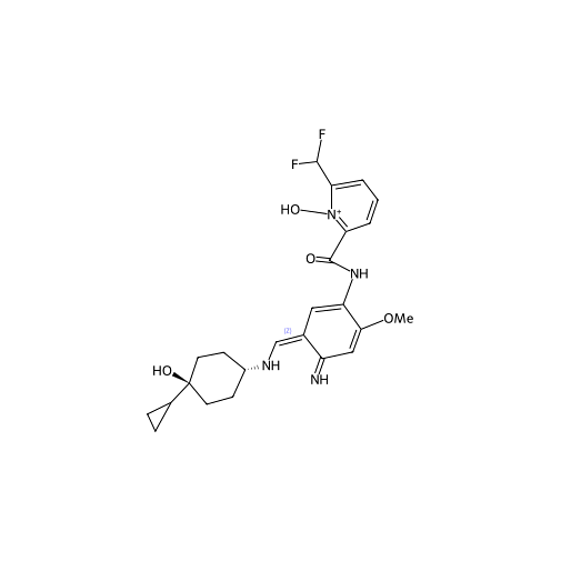 COC1=CC(=N)/C(=C\N[C@H]2CC[C@@](O)(C3CC3)CC2)C=C1NC(=O)c1cccc(C(F)F)[n+]1O